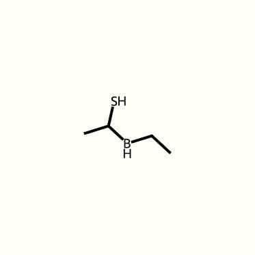 CCBC(C)S